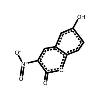 O=c1oc2ccc(O)cc2cc1[N+](=O)[O-]